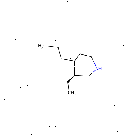 CCCC1CCNC[C@H]1CC